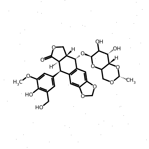 COc1cc([C@@H]2c3cc4c(cc3[C@@H](O[C@@H]3OC5CO[C@@H](C)O[C@H]5[C@@H](O)C3O)[C@H]3COC(=O)[C@H]23)OCO4)cc(CO)c1O